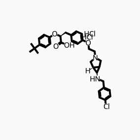 CC(C)(C)c1ccc(O[C@@H](Cc2ccc(OCCN3CC4[C@H](C3)[C@H]4NCc3ccc(Cl)cc3)cc2)C(=O)O)cc1.Cl.Cl